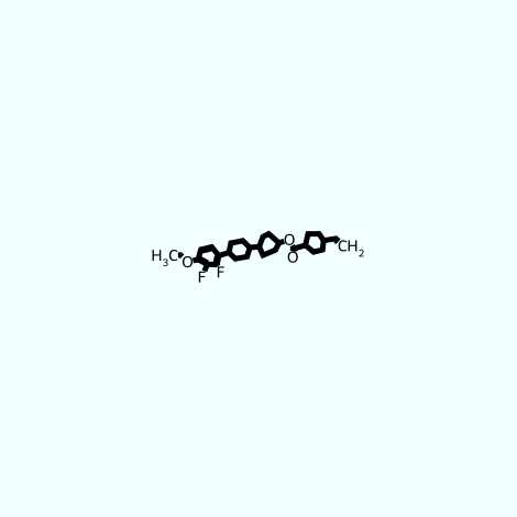 C=CC1CCC(C(=O)OC2CCC(C3CCC(c4ccc(OCC)c(F)c4F)CC3)CC2)CC1